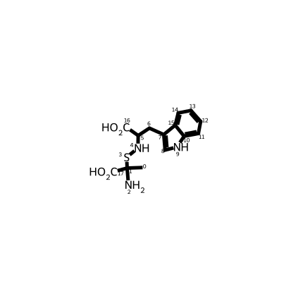 CC(N)(SNC(Cc1c[nH]c2ccccc12)C(=O)O)C(=O)O